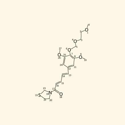 COCCOCOc1c(OC)cc(C=CC=CC(=O)N2CCSC2)cc1OC